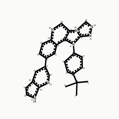 CC(C)(C)c1ccc(-n2c3c4cc(-c5cnc6[nH]ccc6c5)ccc4ncc3n3cnnc23)cc1